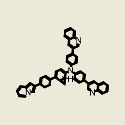 C1=C(C2=CC=C(N(c3ccc(-c4cnc5ccccc5c4)cc3)c3ccc(-c4cnc5ccccc5c4)cc3)[C@H]3CC23)CCC(c2cc3ccccn3c2)=C1